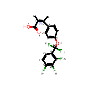 C/C(C(=O)O)=C(\C)c1ccc(OC(F)(F)c2ccc(F)c(F)c2F)cc1